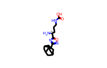 N[C@@H](CCCNC(=O)O)c1nc(C23CC4CC(CC(C4)C2)C3)no1